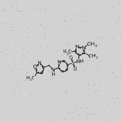 Cc1cc(CNc2ccc(S(=O)(=O)Nc3c(C)nn(C)c3C)cn2)no1